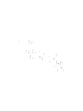 CCCS(=O)(=O)Nc1ccc(-c2cc(C)c3nc(N[C@@H]4CNC[C@@H](F)C4)ncc3n2)cc1F